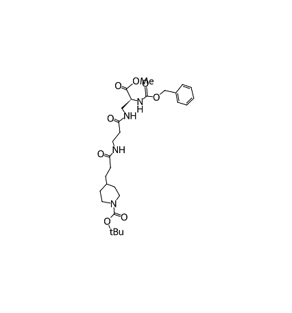 COC(=O)[C@H](CNC(=O)CCNC(=O)CCC1CCN(C(=O)OC(C)(C)C)CC1)NC(=O)OCc1ccccc1